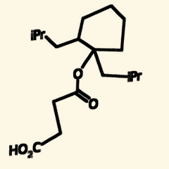 CC(C)CC1CCCCC1(CC(C)C)OC(=O)CCC(=O)O